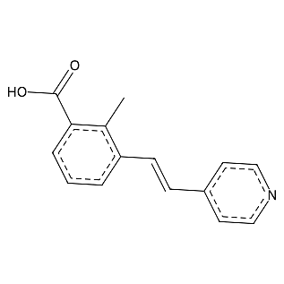 Cc1c(/C=C/c2ccncc2)cccc1C(=O)O